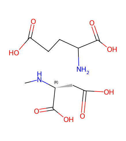 CN[C@H](CC(=O)O)C(=O)O.NC(CCC(=O)O)C(=O)O